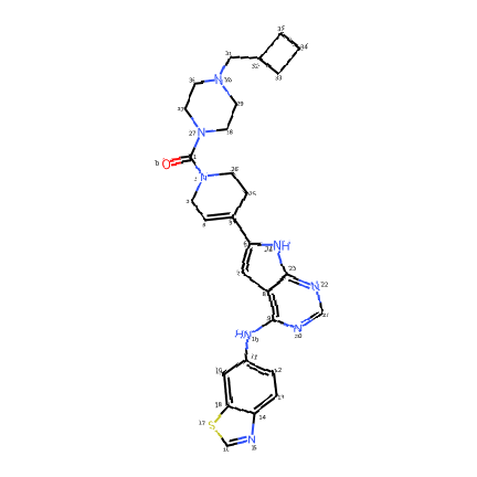 O=C(N1CC=C(c2cc3c(Nc4ccc5ncsc5c4)ncnc3[nH]2)CC1)N1CCN(CC2CCC2)CC1